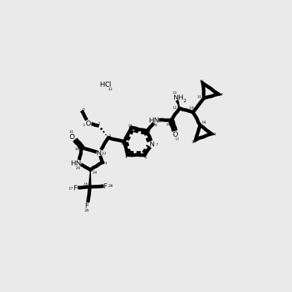 COC[C@H](c1ccnc(NC(=O)[C@@H](N)C(C2CC2)C2CC2)c1)N1C[C@@H](C(F)(F)F)NC1=O.Cl